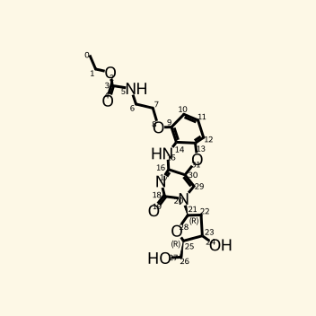 CCOC(=O)NCCOc1cccc2c1Nc1nc(=O)n([C@H]3CC(O)[C@@H](CO)O3)cc1O2